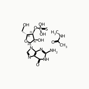 CNC(C)=O.Nc1nc2c(ncn2[C@@H]2O[C@H](CO)[C@@H](OP(O)(O)=S)[C@H]2O)c(=O)[nH]1